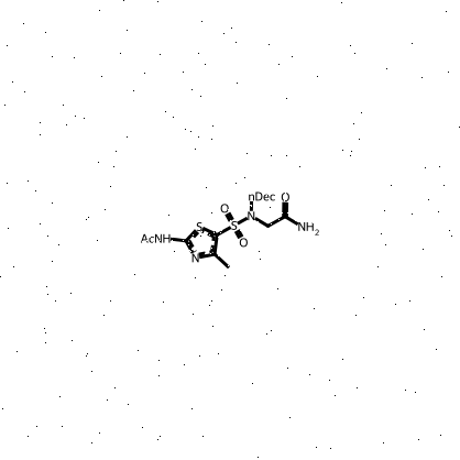 CCCCCCCCCCN(CC(N)=O)S(=O)(=O)c1sc(NC(C)=O)nc1C